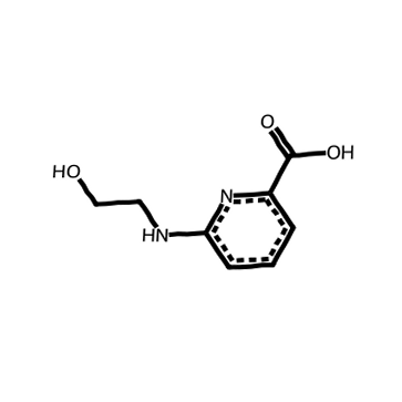 O=C(O)c1cccc(NCCO)n1